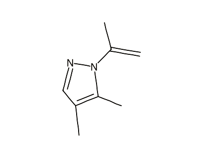 C=C(C)n1ncc(C)c1C